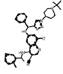 Cc1ccccc1C(C)Nc1c(C#N)cnc2c(Cl)cc(NC(c3ccccc3)c3cn(C4CCN(C(C)(C)C)CC4)nn3)cc12